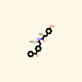 N#C/C(=C\c1ccc(O)cc1)C(=O)N[C@@H](Cc1ccc(C(=O)c2ccccc2)cc1)C(=O)O